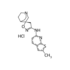 Cc1cc2ccc(NC3=NO[C@@]4(C3)CN3CCC4CC3)nc2s1.Cl